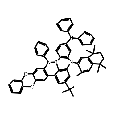 Cc1cc2c(cc1N1c3cc(N(c4ccccc4)c4ccccc4)ccc3B3c4c(cc(C(C)(C)C)cc41)-c1cc4c(cc1N3c1ccccc1)Oc1ccccc1O4)C(C)(C)CCC2(C)C